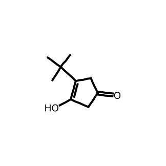 CC(C)(C)C1=C(O)CC(=O)C1